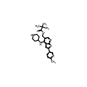 Cc1ccc(-c2cc3c(NC4CCNCC4)c(COC(=O)C(C)(C)C)cnc3s2)cn1